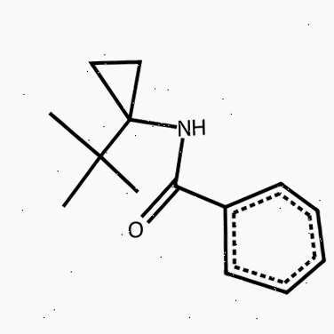 CC(C)(C)C1(NC(=O)c2ccccc2)CC1